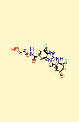 Cn1c(Nc2ccc(Br)cc2F)nc2c(F)cc(C(=O)NOCCO)cc21